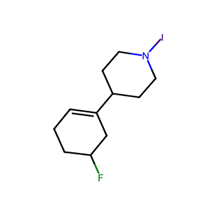 FC1CCC=C(C2CCN(I)CC2)C1